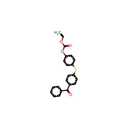 C=COC(=O)Oc1ccc(Sc2ccc(C(=O)c3ccccc3)cc2)cc1